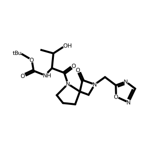 CC(O)C(NC(=O)OC(C)(C)C)C(=O)N1CCCC12CN(Cc1ncno1)C2=O